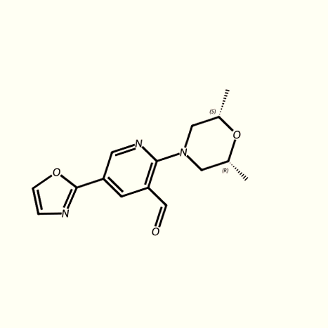 C[C@@H]1CN(c2ncc(-c3ncco3)cc2C=O)C[C@H](C)O1